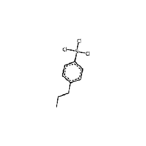 CCCc1ccc([Si](Cl)(Cl)Cl)cc1